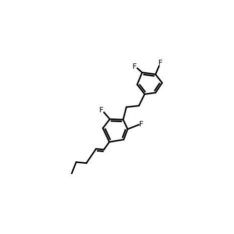 CCCC=Cc1cc(F)c(CCc2ccc(F)c(F)c2)c(F)c1